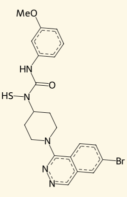 COc1cccc(NC(=O)N(S)C2CCN(c3nncc4cc(Br)ccc34)CC2)c1